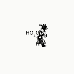 Cc1cc(Cn2nc(C(=O)O)c3ccc(S(=O)(=O)NC4(C)CC4)cc3c2=O)on1